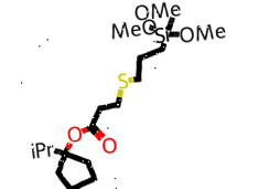 CO[Si](CCCSCCC(=O)OC1(C(C)C)CCCC1)(OC)OC